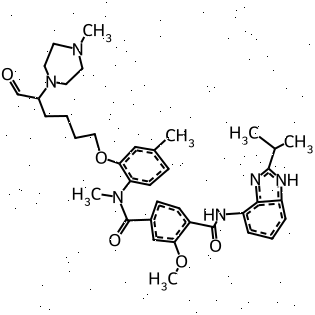 COc1cc(C(=O)N(C)c2ccc(C)cc2OCCCCC(C=O)N2CCN(C)CC2)ccc1C(=O)Nc1cccc2[nH]c(C(C)C)nc12